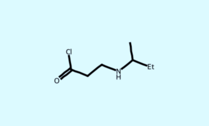 CCC(C)NCCC(=O)Cl